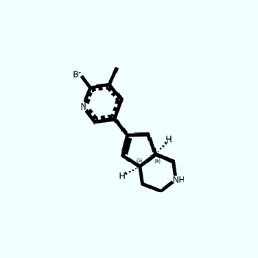 Cc1cc(C2=C[C@@H]3CCNC[C@@H]3C2)cnc1Br